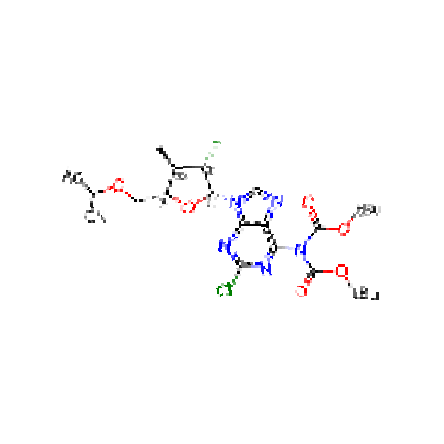 CC(=O)C(C#N)OC[C@H]1O[C@@H](n2cnc3c(N(C(=O)OC(C)(C)C)C(=O)OC(C)(C)C)nc(Cl)nc32)[C@@H](F)[C@@H]1C